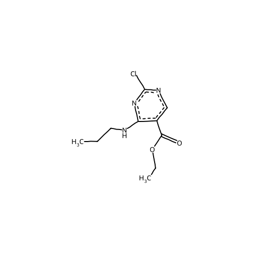 CCCNc1nc(Cl)ncc1C(=O)OCC